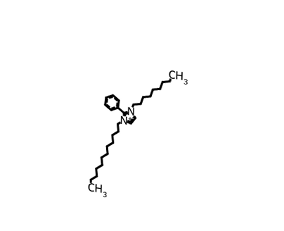 CCCCCCCCCCCC[n+]1ccn(CCCCCCCCC)c1-c1ccccc1